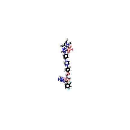 CCC(C)C(C(=O)O)(N(CC)CC)n1ncn(-c2ccc(N3CCN(c4ccc(OCC5COC(Cn6cncn6)(c6ccc(F)cc6F)O5)cc4)CC3)cc2)c1=O